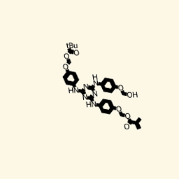 C=C(C)C(=O)OCOc1ccc(Nc2nc(Nc3ccc(OCO)cc3)nc(Nc3ccc(OCOC(=O)C(C)(C)C)cc3)n2)cc1